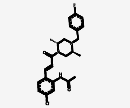 CC(=O)Nc1cc(Cl)ccc1/C=C/C(=O)N1C[C@H](C)N(Cc2ccc(F)cc2)C[C@H]1C